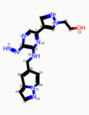 N=Nc1ncc(-c2cnn(CCO)c2)nc1NCc1ccn2nccc2c1